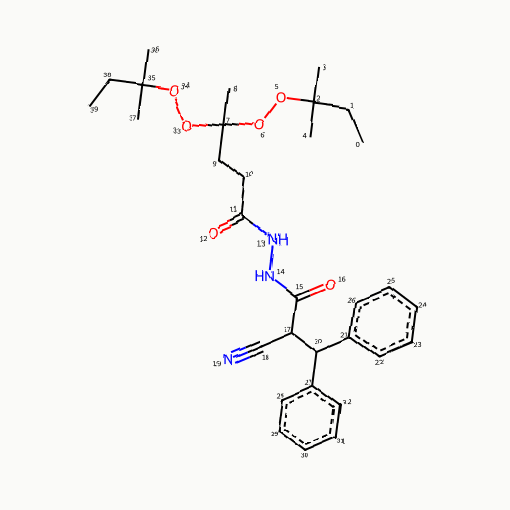 CCC(C)(C)OOC(C)(CCC(=O)NNC(=O)C(C#N)C(c1ccccc1)c1ccccc1)OOC(C)(C)CC